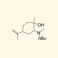 C=C(C)C1CCC(C)(O)C(N(C)CCCC)C1